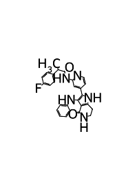 C[C@@H](C(=O)Nc1cc(-c2[nH]c3c(c2Nc2ccccc2)C(=O)NCC3)ccn1)c1ccc(F)cc1